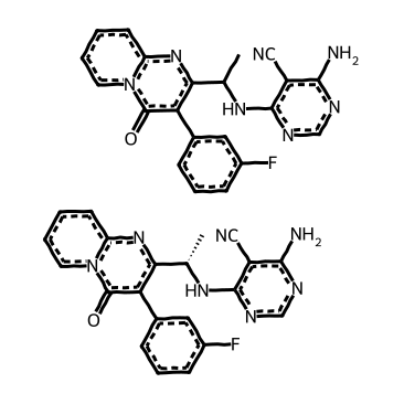 CC(Nc1ncnc(N)c1C#N)c1nc2ccccn2c(=O)c1-c1cccc(F)c1.C[C@H](Nc1ncnc(N)c1C#N)c1nc2ccccn2c(=O)c1-c1cccc(F)c1